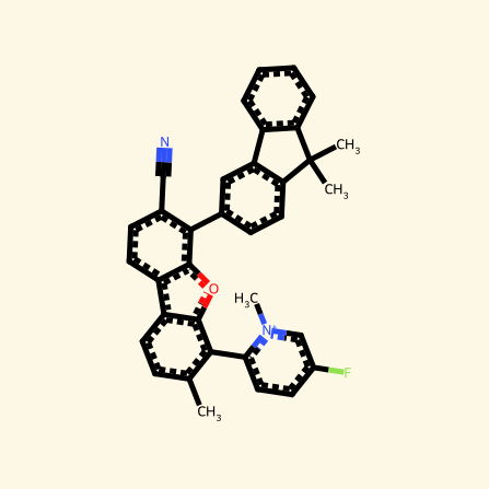 Cc1ccc2c(oc3c(-c4ccc5c(c4)-c4ccccc4C5(C)C)c(C#N)ccc32)c1-c1ccc(F)c[n+]1C